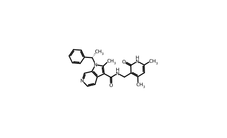 Cc1cc(C)c(CNC(=O)c2c(C)n([C@@H](C)c3ccccc3)c3cnccc23)c(=O)[nH]1